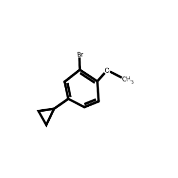 COc1ccc(C2CC2)cc1Br